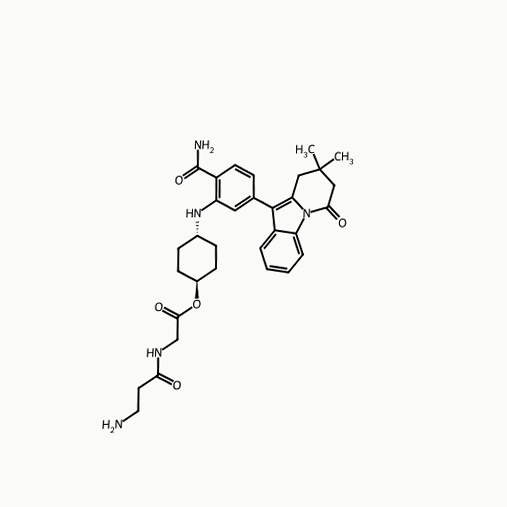 CC1(C)CC(=O)n2c(c(-c3ccc(C(N)=O)c(N[C@H]4CC[C@H](OC(=O)CNC(=O)CCN)CC4)c3)c3ccccc32)C1